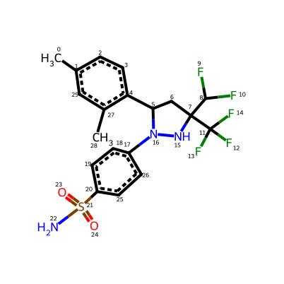 Cc1ccc(C2CC(C(F)F)(C(F)(F)F)NN2c2ccc(S(N)(=O)=O)cc2)c(C)c1